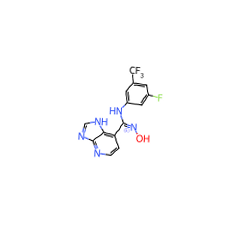 O/N=C(/Nc1cc(F)cc(C(F)(F)F)c1)c1ccnc2nc[nH]c12